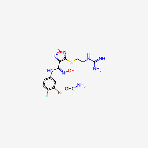 N=C(N)NCCSc1nonc1C(=NO)Nc1ccc(F)c(Br)c1.NC=O